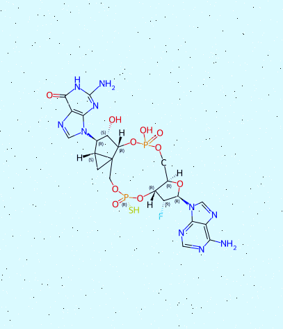 Nc1nc2c(ncn2[C@H]2[C@H](O)[C@@H]3OP(=O)(O)OC[C@H]4O[C@@H](n5cnc6c(N)ncnc65)[C@H](F)[C@@H]4O[P@](=O)(S)OCC34C[C@H]24)c(=O)[nH]1